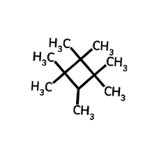 CC1C(C)(C)C(C)(C)C1(C)C